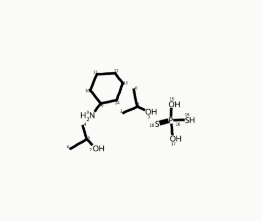 CC(C)O.CC(C)O.NC1CCCCC1.OP(O)(=S)S